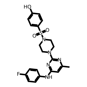 Cc1cc(Nc2ccc(F)cc2)nc(N2CCN(S(=O)(=O)c3ccc(O)cc3)CC2)n1